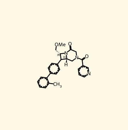 COC[C@H]1C(c2ccc(-c3ccccc3C)cc2)[C@H]2CN(C(=O)c3cccnc3)CC(=O)N21